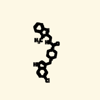 Cn1c(CNC(=O)N2CCN(Cc3c[nH]c4ccc(Cl)cc34)CC2)nc2ccccc21